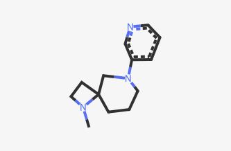 CN1CCC12CCCN(c1cccnc1)C2